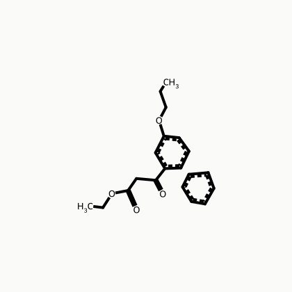 CCCOc1cccc(C(=O)CC(=O)OCC)c1.c1ccccc1